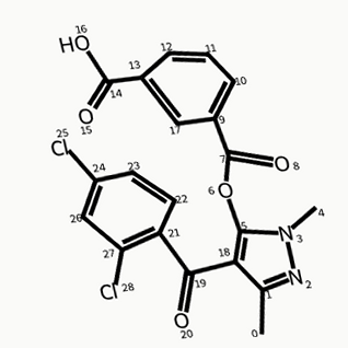 Cc1nn(C)c(OC(=O)c2cccc(C(=O)O)c2)c1C(=O)c1ccc(Cl)cc1Cl